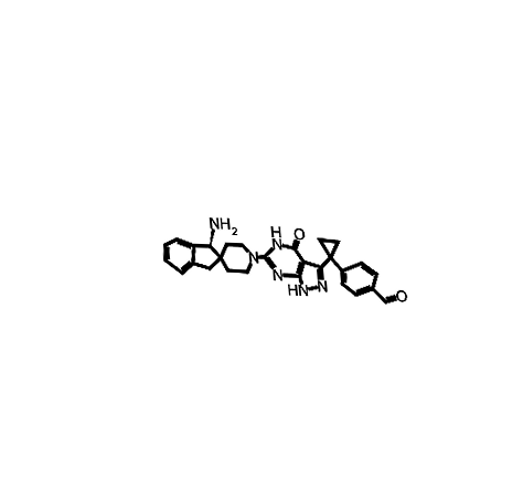 N[C@@H]1c2ccccc2CC12CCN(c1nc3[nH]nc(C4(c5ccc(C=O)cc5)CC4)c3c(=O)[nH]1)CC2